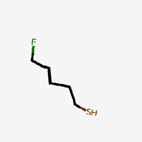 FCCCCCS